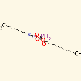 CCCCCCCCCCCCC/C=C/C=C/C(=O)O[C@@H](CP)COC(=O)CCCCCCCCCCCCCCCCC